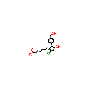 O=C(O)CCCCCC[C@H]1C(Cl)C[C@@H](O)[C@@H]1c1ccc(CO)cc1